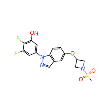 CS(=O)(=O)N1CC(Oc2ccc3c(cnn3-c3cc(O)c(F)c(F)c3)c2)C1